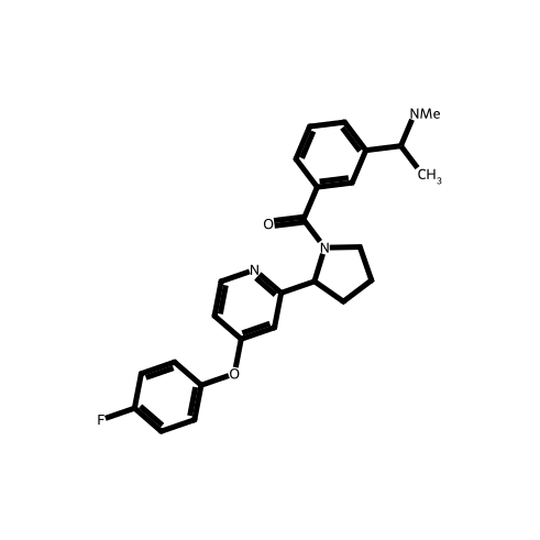 CNC(C)c1cccc(C(=O)N2CCCC2c2cc(Oc3ccc(F)cc3)ccn2)c1